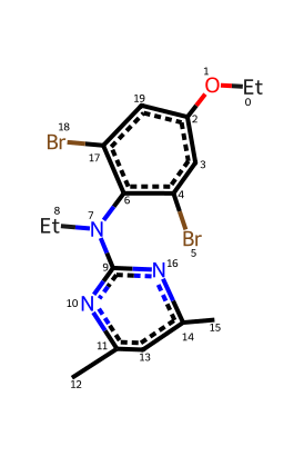 CCOc1cc(Br)c(N(CC)c2nc(C)cc(C)n2)c(Br)c1